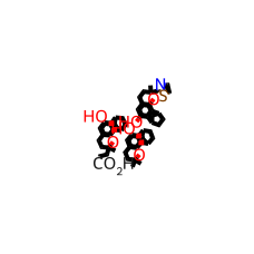 CC1(C)CCc2cc(O)c3c(c2O1)C1CCC3CC1.CC1(CCC(=O)O)CCc2cc(O)c3c(c2O1)C1CCC3CC1.CC1(c2nccs2)CCc2cc(O)c3c(c2O1)C1CCC3C1